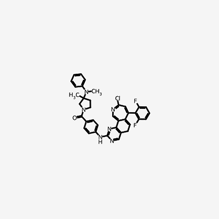 CN(c1ccccc1)C1(C)CCN(C(=O)c2ccc(Nc3ncc4c(n3)C3=CN=C(Cl)C=C(c5c(F)cccc5F)C3=CC4)cc2)C1